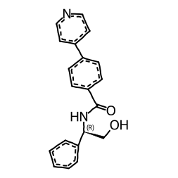 O=C(N[C@@H](CO)c1ccccc1)c1ccc(-c2ccncc2)cc1